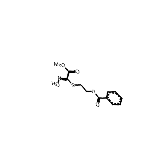 COC(=O)/C(=N/O)SCCOC(=O)c1ccccc1